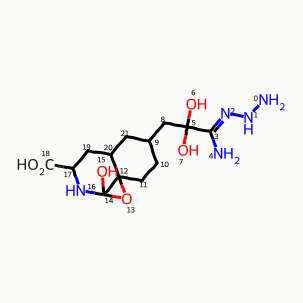 NN/N=C(\N)C(O)(O)CC1CCC23OC2(O)NC(C(=O)O)CC3C1